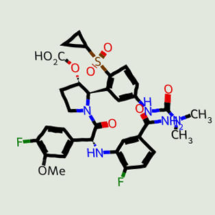 COc1cc([C@@H](Nc2cc(C(N)=O)ccc2F)C(=O)N2CC[C@H](OC(=O)O)[C@H]2c2cc(NC(=O)N(C)C)ccc2S(=O)(=O)C2CC2)ccc1F